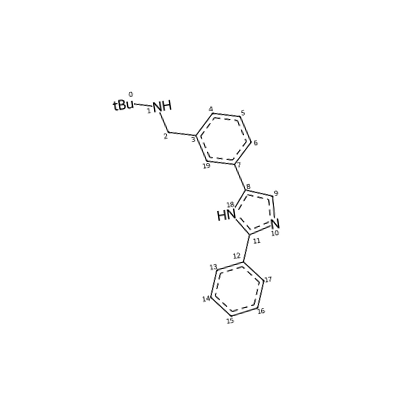 CC(C)(C)NCc1cccc(-c2cnc(-c3ccccc3)[nH]2)c1